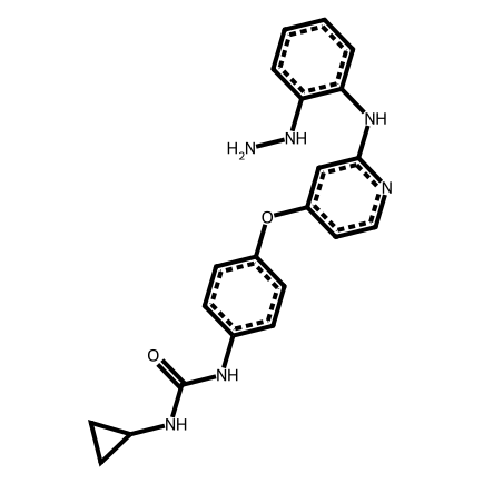 NNc1ccccc1Nc1cc(Oc2ccc(NC(=O)NC3CC3)cc2)ccn1